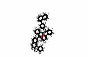 c1ccc(-c2ccccc2N(c2ccc(-c3cccc4ccccc34)cc2)c2ccc(-c3ccc4ccc5oc6ccccc6c5c4c3)c3ccccc23)cc1